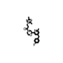 Cc1cc(Cc2ccc(F)cc2)cc(C2CN(C(=O)CCn3nc(C)nc3C)CCO2)n1